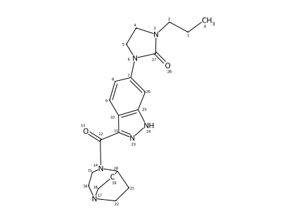 CCCN1CCN(c2ccc3c(C(=O)N4CCN5CCC4CC5)n[nH]c3c2)C1=O